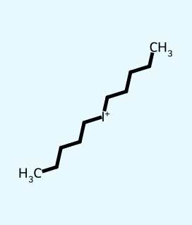 CCCCC[I+]CCCCC